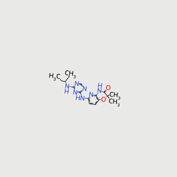 CCC(CC)Nc1ncnc(Nc2ccc3c(n2)NC(=O)C(C)(C)O3)n1